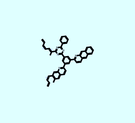 C=C/C=C\C=C(/C)c1nc(-c2ccccc2)nc(-c2cc(-c3ccc4cc(C)c(/C=C\C=C)cc4n3)cc(-c3ccc4cc5ccccc5cc4n3)c2)n1